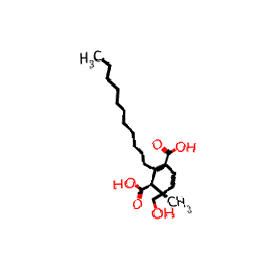 CCCCCCCCCCCC1=C(C(=O)O)C=CC(C)(CO)C1C(=O)O